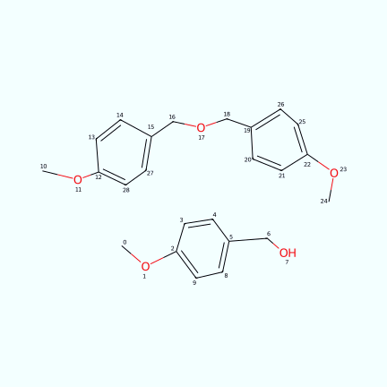 COc1ccc(CO)cc1.COc1ccc(COCc2ccc(OC)cc2)cc1